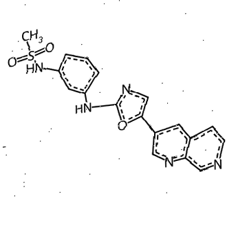 CS(=O)(=O)Nc1cccc(Nc2ncc(-c3cnc4cnccc4c3)o2)c1